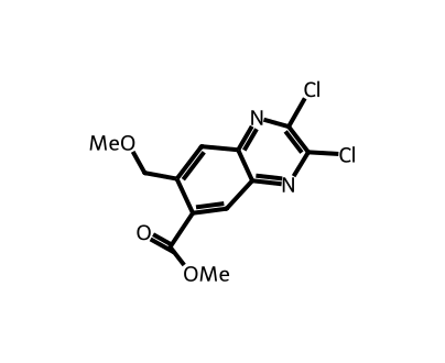 COCc1cc2nc(Cl)c(Cl)nc2cc1C(=O)OC